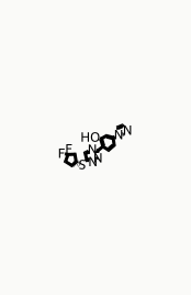 Oc1cc(-n2ccnc2)ccc1-c1ncc(S[C@@H]2CCC(F)(F)C2)nn1